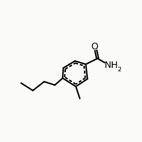 CCCCc1ccc(C(N)=O)cc1C